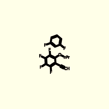 C#Cc1c(F)c(F)c(F)c(F)c1OCCC.Fc1cccc(F)c1